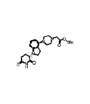 CC(C)(C)OC(=O)CN1CCN(c2cccc3c2CCN3[C@H]2CCC(=O)NC2=O)CC1